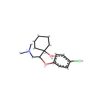 CN(C)CC(Oc1ccc(Cl)cc1)C1(O)CCCCC1